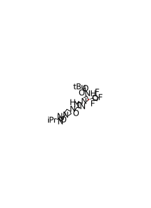 CC(C)c1noc(N2CCC(NC(=O)c3cnc(N4C[C@H](NC(=O)OC(C)(C)C)[C@@H](c5cc(F)c(F)cc5F)C4)cn3)CC2)n1